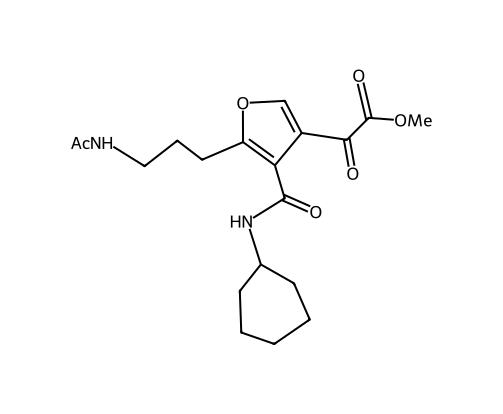 COC(=O)C(=O)c1coc(CCCNC(C)=O)c1C(=O)NC1CCCCC1